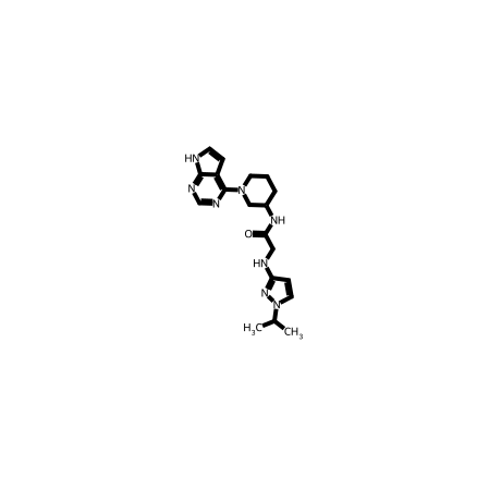 CC(C)n1ccc(NCC(=O)NC2CCCN(c3ncnc4[nH]ccc34)C2)n1